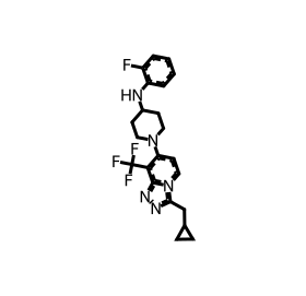 Fc1ccccc1NC1CCN(c2ccn3c(CC4CC4)nnc3c2C(F)(F)F)CC1